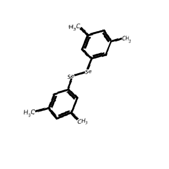 Cc1cc(C)cc([Se][Se]c2cc(C)cc(C)c2)c1